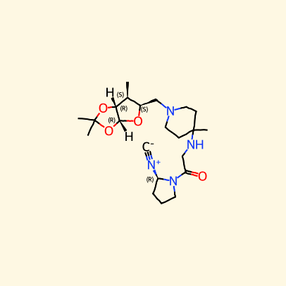 [C-]#[N+][C@@H]1CCCN1C(=O)CNC1(C)CCN(C[C@H]2O[C@@H]3OC(C)(C)O[C@@H]3[C@H]2C)CC1